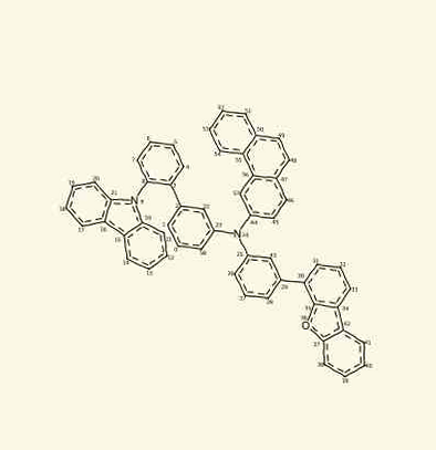 c1cc(-c2ccccc2-n2c3ccccc3c3ccccc32)cc(N(c2cccc(-c3cccc4c3oc3ccccc34)c2)c2ccc3ccc4ccccc4c3c2)c1